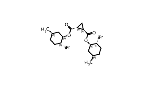 CC(C)[C@@H]1CC[C@@H](C)C[C@H]1OC(=O)[C@@H]1C[C@H]1C(=O)O[C@@H]1C[C@H](C)CC[C@H]1C(C)C